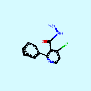 NNC(=O)c1c(Cl)ccnc1-c1ccccc1